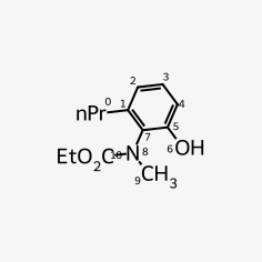 CCCc1cccc(O)c1N(C)C(=O)OCC